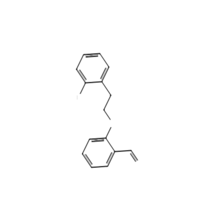 O=Cc1ccccc1OCCc1ccccc1F